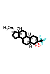 CC[C@H]1CCC2C3CC[C@@H]4C[C@@](O)(C(F)(F)F)CC[C@@H]4C3CC[C@]21C